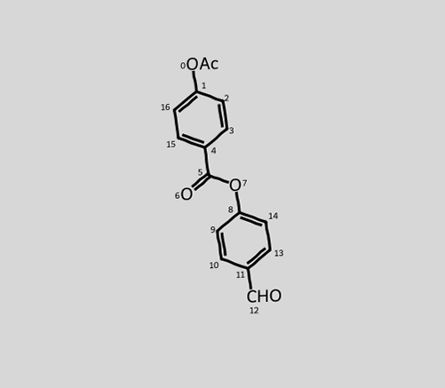 CC(=O)Oc1ccc(C(=O)Oc2ccc(C=O)cc2)cc1